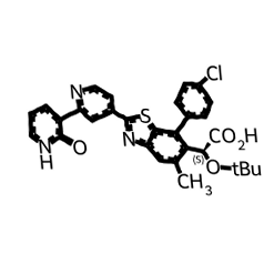 Cc1cc2nc(-c3ccnc(-c4ccc[nH]c4=O)c3)sc2c(-c2ccc(Cl)cc2)c1[C@H](OC(C)(C)C)C(=O)O